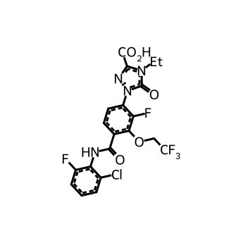 CCn1c(C(=O)O)nn(-c2ccc(C(=O)Nc3c(F)cccc3Cl)c(OCC(F)(F)F)c2F)c1=O